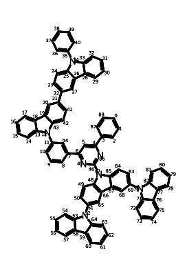 c1ccc(-c2cc(-c3cccc(-n4c5ccccc5c5cc(-c6ccc7c(c6)c6ccccc6n7-c6ccccc6)ccc54)c3)nc(-n3c4ccc(-n5c6ccccc6c6ccccc65)cc4c4cc(-n5c6ccccc6c6ccccc65)ccc43)n2)cc1